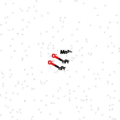 CCC[O-].CCC[O-].[Mn+2]